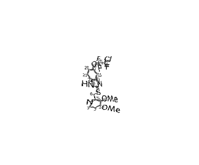 COc1ccnc(CSc2nc3cc(OC(F)(F)C(F)Cl)ccc3[nH]2)c1OC